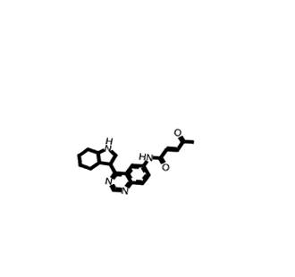 CC(=O)C=CC(=O)Nc1ccc2ncnc(C3CNC4CCCCC43)c2c1